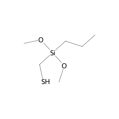 CCC[Si](CS)(OC)OC